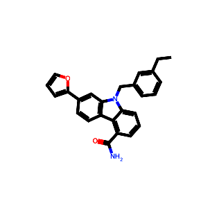 CCc1cccc(Cn2c3cc(-c4ccco4)c[c]c3c3c(C(N)=O)cccc32)c1